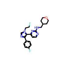 FCCn1cnc(-c2ccc(F)cc2)c1-c1ccnc(NCC2CCOCC2)n1